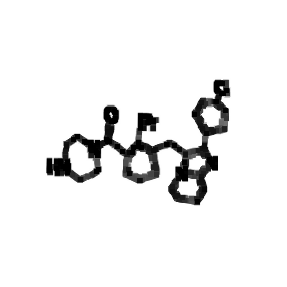 CC(C)c1c(Cc2c(-c3ccc(Cl)cc3)nc3ccccn23)cccc1C(=O)N1CCNCC1